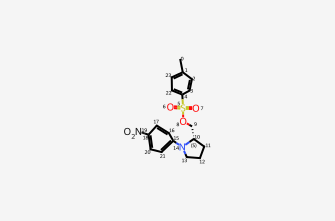 Cc1ccc(S(=O)(=O)OC[C@@H]2CCCN2c2ccc([N+](=O)[O-])cc2)cc1